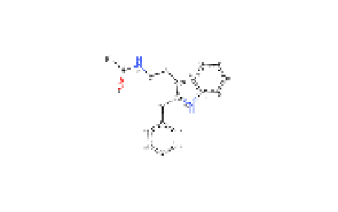 CCC(=O)NCCc1c(Cc2ccccc2)[nH]c2ccccc12